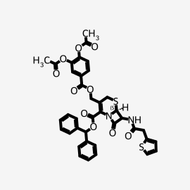 CC(=O)Oc1ccc(C(=O)OCC2=C(C(=O)OC(c3ccccc3)c3ccccc3)N3C(=O)C(NC(=O)Cc4cccs4)[C@@H]3SC2)cc1OC(C)=O